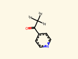 [2H]C([2H])([2H])C(=O)c1ccncc1